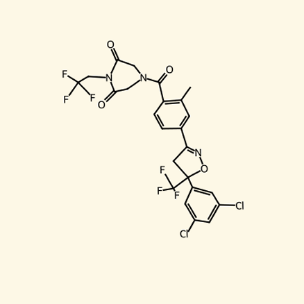 Cc1cc(C2=NOC(c3cc(Cl)cc(Cl)c3)(C(F)(F)F)C2)ccc1C(=O)N1CC(=O)N(CC(F)(F)F)C(=O)C1